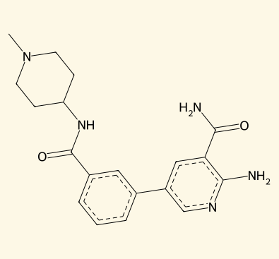 CN1CCC(NC(=O)c2cccc(-c3cnc(N)c(C(N)=O)c3)c2)CC1